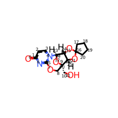 O=c1ccn2c(n1)OC[C@@]1(CO)O[C@@H]2[C@@H]2OC3(CCCC3)O[C@@H]21